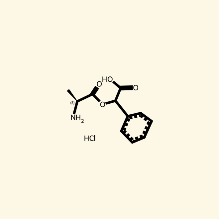 C[C@H](N)C(=O)OC(C(=O)O)c1ccccc1.Cl